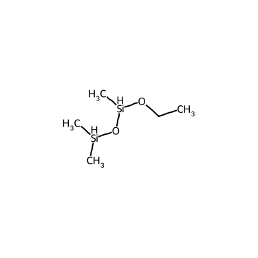 CCO[SiH](C)O[SiH](C)C